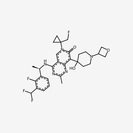 Cc1nc(N[C@H](C)c2cccc(C(F)F)c2F)c2cn(C3(CF)CC3)c(=O)c(C3(O)CCN(C4COC4)CC3)c2n1